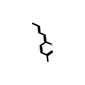 C=C(C)\C=C/C(F)=C\C=C\C